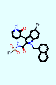 CCc1ccc2c(c1)c(-c1ccc[nH]c1=O)c(C(=O)NS(=O)(=O)C(C)C)n2Cc1cccc2ccccc12